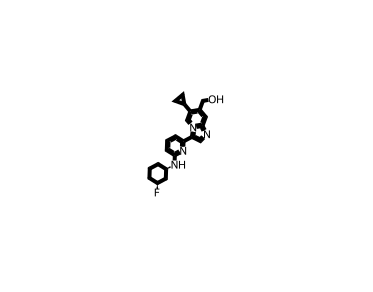 OCc1cc2ncc(-c3cccc(N[C@H]4CCC[C@@H](F)C4)n3)n2cc1C1CC1